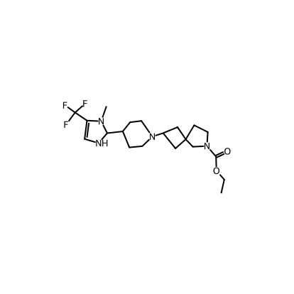 CCOC(=O)N1CCC2(CC(N3CCC(C4NC=C(C(F)(F)F)N4C)CC3)C2)C1